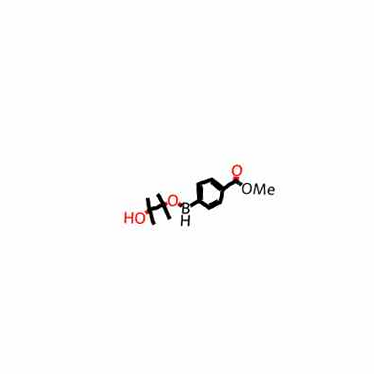 COC(=O)c1ccc(BOC(C)(C)C(C)(C)O)cc1